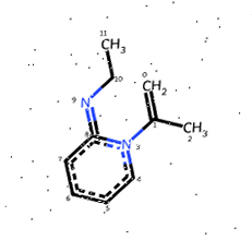 C=C(C)n1cccc/c1=N/CC